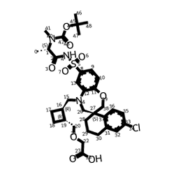 C[C@@H](C(=O)NS(=O)(=O)c1ccc2c(c1)N(C[C@@H]1CC[C@H]1COCC(=O)O)C[C@@]1(CCCc3cc(Cl)ccc31)CO2)N(C)C(=O)OC(C)(C)C